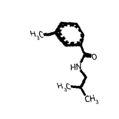 Cc1cccc(C(=O)NCC(C)C)c1